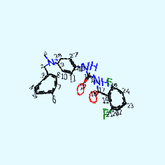 C[N+](Cc1ccccc1)=C1C=CC(NC(=O)NC(=O)c2c(F)cccc2F)=CC1